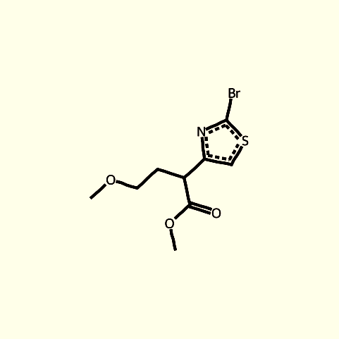 COCCC(C(=O)OC)c1csc(Br)n1